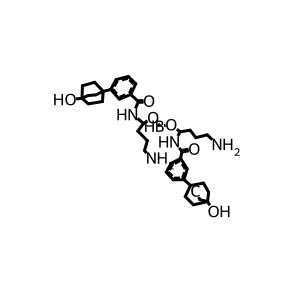 NCCCC(NC(=O)c1cccc(C23CCC(O)(CC2)CC3)c1)OBOC(CCCN)NC(=O)c1cccc(C23CCC(O)(CC2)CC3)c1